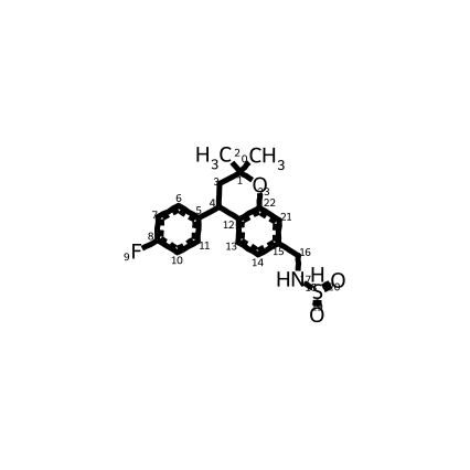 CC1(C)CC(c2ccc(F)cc2)c2ccc(CN[SH](=O)=O)cc2O1